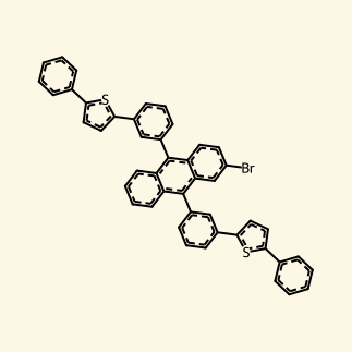 Brc1ccc2c(-c3cccc(-c4ccc(-c5ccccc5)s4)c3)c3ccccc3c(-c3cccc(-c4ccc(-c5ccccc5)s4)c3)c2c1